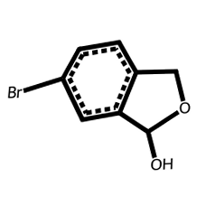 OC1OCc2ccc(Br)cc21